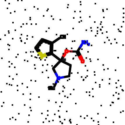 CC(C)(C)N1CC[C@@](OC(N)=O)(c2sccc2C#N)C1